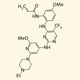 C=CC(=O)Nc1cc(OC)ccc1Nc1nc(Nc2cc(OC)nc(N3CCN(CC)CC3)c2)ncc1C(F)(F)F